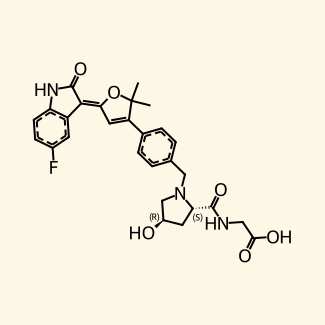 CC1(C)OC(=C2C(=O)Nc3ccc(F)cc32)C=C1c1ccc(CN2C[C@H](O)C[C@H]2C(=O)NCC(=O)O)cc1